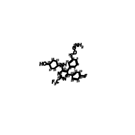 NOOSc1cccc(-c2c(NC3CCC(O)CC3)nc(C(F)(F)F)nc2-c2ccc(F)cc2)c1